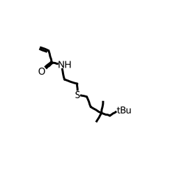 C=CC(=O)NCCSCCC(C)(C)CC(C)(C)C